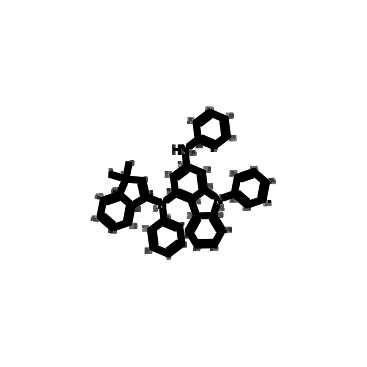 CC1(C)C=C(N(c2ccccc2)c2cc(Nc3ccccc3)cc3c2c2ccccc2n3-c2ccccc2)c2ccccc21